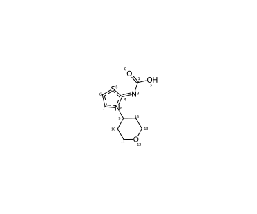 O=C(O)N=c1sccn1C1CCOCC1